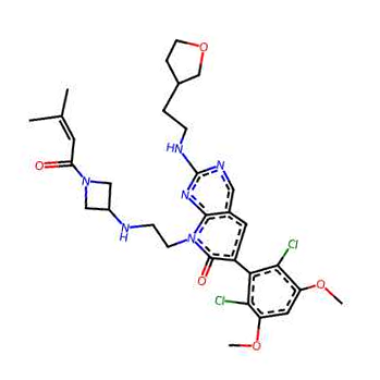 COc1cc(OC)c(Cl)c(-c2cc3cnc(NCCC4CCOC4)nc3n(CCNC3CN(C(=O)C=C(C)C)C3)c2=O)c1Cl